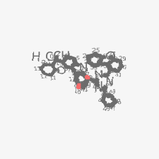 CC1(C)c2ccc3c(c2OC2CCCCC21)c1ccccc1n3-c1ccc2oc3cccc(-c4nc(-c5ccccc5)nc(-c5ccccc5)n4)c3c2c1